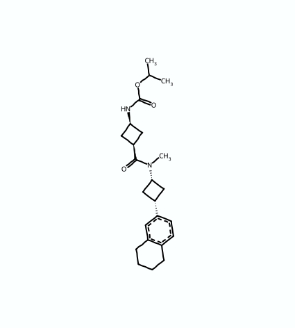 CC(C)OC(=O)N[C@H]1C[C@@H](C(=O)N(C)[C@H]2C[C@@H](c3ccc4c(c3)CCCC4)C2)C1